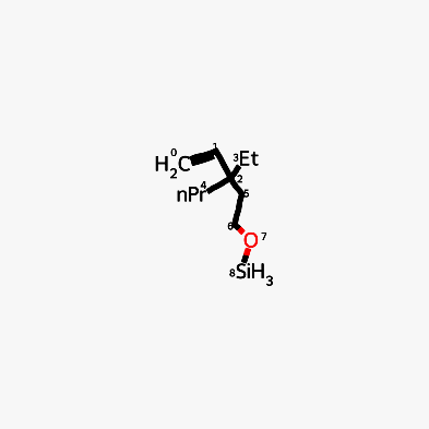 C=CC(CC)(CCC)CCO[SiH3]